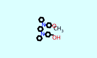 COc1ccc(N(c2ccccc2)c2cccc(N(c3ccccc3)c3ccc(CO)cc3)c2)cc1